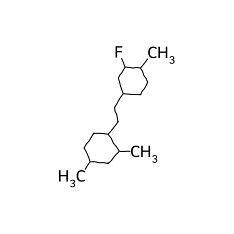 CC1CCC(CCC2CCC(C)C(F)C2)C(C)C1